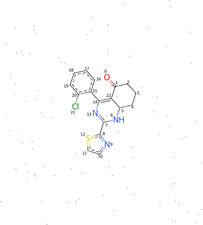 O=C1CCCC2NC(c3nccs3)=NC(c3ccccc3Cl)=C12